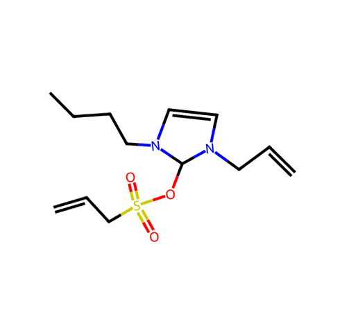 C=CCN1C=CN(CCCC)C1OS(=O)(=O)CC=C